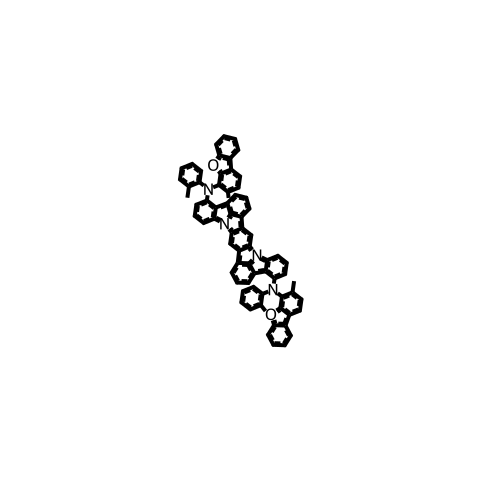 Cc1ccccc1N(c1c(C)ccc2c1oc1ccccc12)c1cccc2c1c1cccc3c4cc5c(cc4n2c31)c1cccc2c3c(N(c4ccccc4C)c4c(C)ccc6c4oc4ccccc46)cccc3n5c12